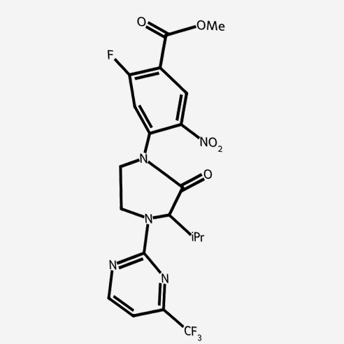 COC(=O)c1cc([N+](=O)[O-])c(N2CCN(c3nccc(C(F)(F)F)n3)C(C(C)C)C2=O)cc1F